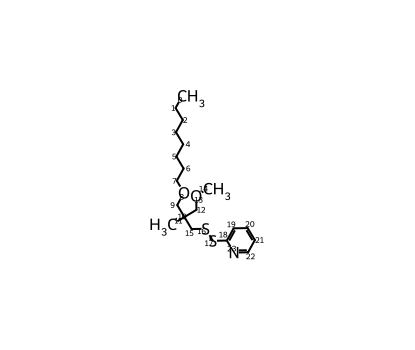 CCCCCCCCOCC(C)(COC)CSSc1ccccn1